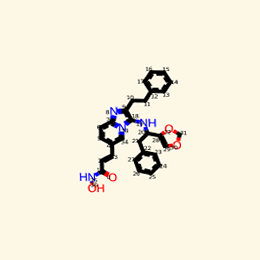 O=C(C=Cc1ccc2nc(CCc3ccccc3)c(NC(Cc3ccccc3)C3=COCO3)n2c1)NO